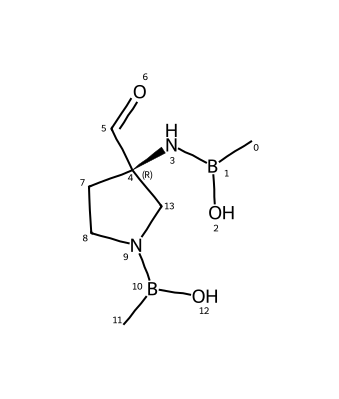 CB(O)N[C@]1(C=O)CCN(B(C)O)C1